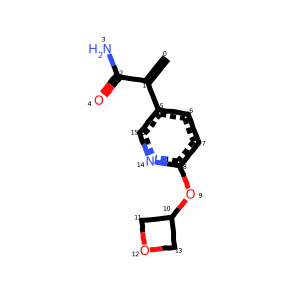 C=C(C(N)=O)c1ccc(OC2COC2)nc1